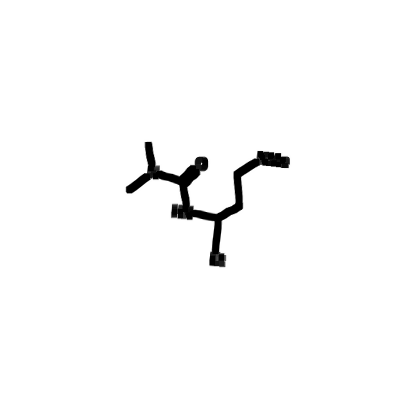 CCC(CCNC)NC(=O)N(C)C